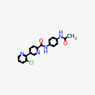 CC(=O)Nc1ccc(NC(=O)c2ccc(-c3ncccc3Cl)cn2)cc1